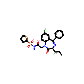 CC[C@H](C)C1N=C(c2ccccc2)c2cc(Cl)ccc2N(CC(=O)NS(=O)(=O)c2cccs2)C1=O